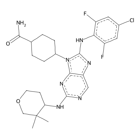 CC1(C)COCCC1Nc1ncc2nc(Nc3c(F)cc(Cl)cc3F)n(C3CCC(C(N)=O)CC3)c2n1